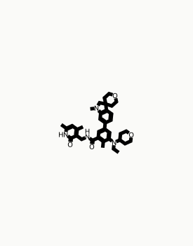 CCN(c1cc(-c2ccc3c(c2)N(C)CC32CCOCC2)cc(C(=O)NCc2c(C)cc(C)[nH]c2=O)c1C)C1CCOCC1